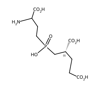 NC(CCP(=O)(O)C[C@@H](CCC(=O)O)C(=O)O)C(=O)O